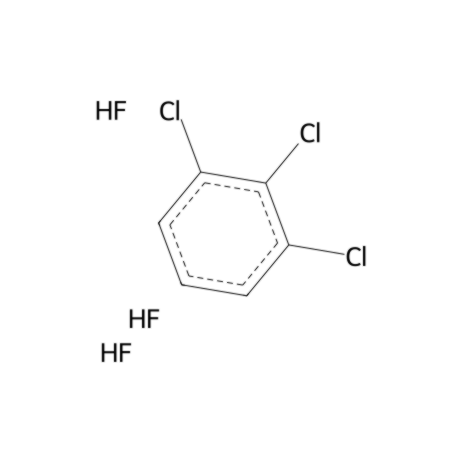 Clc1cccc(Cl)c1Cl.F.F.F